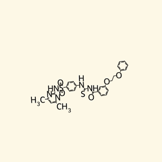 Cc1cc(C)nc(NS(=O)(=O)c2ccc(NC(=S)NC(=O)c3cccc(OCCOc4ccccc4)c3)cc2)n1